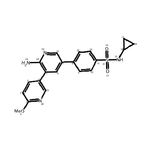 COc1ccc(-c2cc(-c3ccc(S(=O)(=O)NC4CC4)cc3)cnc2N)cn1